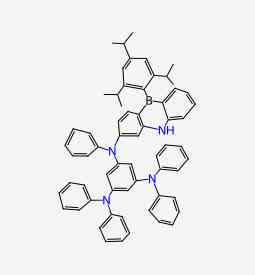 CC(C)c1cc(C(C)C)c(B2c3ccccc3Nc3cc(N(c4ccccc4)c4cc(N(c5ccccc5)c5ccccc5)cc(N(c5ccccc5)c5ccccc5)c4)ccc32)c(C(C)C)c1